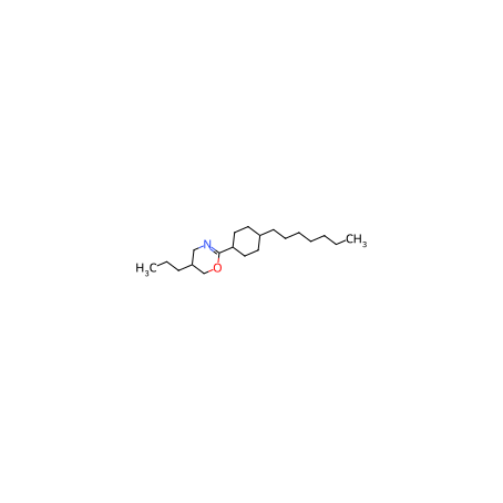 CCCCCCCC1CCC(C2=NCC(CCC)CO2)CC1